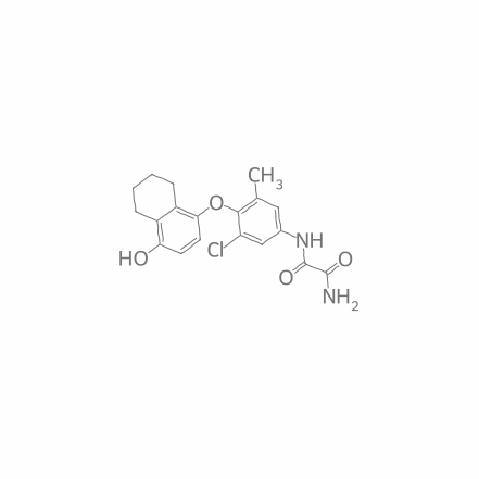 Cc1cc(NC(=O)C(N)=O)cc(Cl)c1Oc1ccc(O)c2c1CCCC2